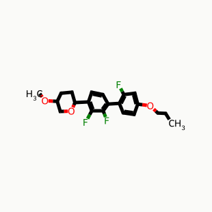 CCCOc1ccc(-c2ccc(C3CCC(OC)CO3)c(F)c2F)c(F)c1